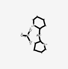 C1CC[CH]([Au+][CH]2CCCCS2)SC1.[O-][I+2]([O-])[O-]